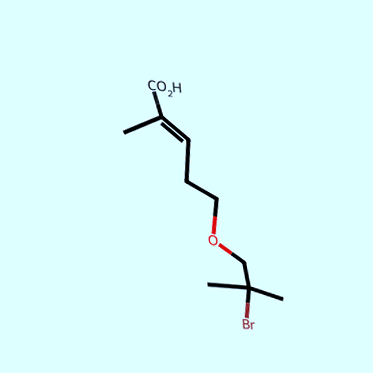 CC(=CCCOCC(C)(C)Br)C(=O)O